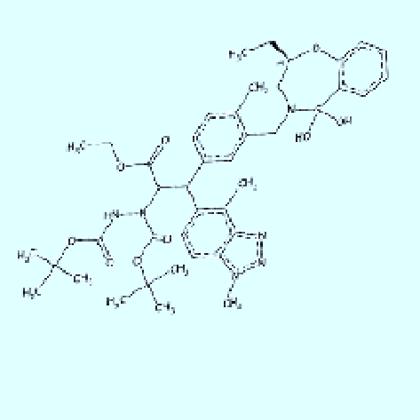 CCOC(=O)C(C(c1ccc(C)c(CN2C[C@@H](CC)Oc3ccccc3S2(O)O)c1)c1ccc2c(nnn2C)c1C)N(NC(=O)OC(C)(C)C)C(=O)OC(C)(C)C